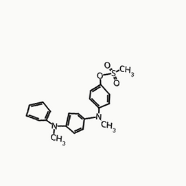 CN(c1ccccc1)c1ccc(N(C)c2ccc(OS(C)(=O)=O)cc2)cc1